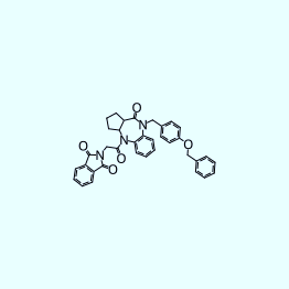 O=C1c2ccccc2C(=O)N1CC(=O)N1c2ccccc2N(Cc2ccc(OCc3ccccc3)cc2)C(=O)C2CCCC21